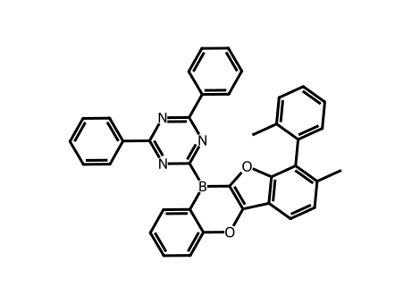 Cc1ccccc1-c1c(C)ccc2c3c(oc12)B(c1nc(-c2ccccc2)nc(-c2ccccc2)n1)c1ccccc1O3